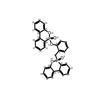 O=P1(Cc2ccccc2OP2(=O)Oc3ccccc3-c3ccccc32)Oc2ccccc2-c2ccccc21